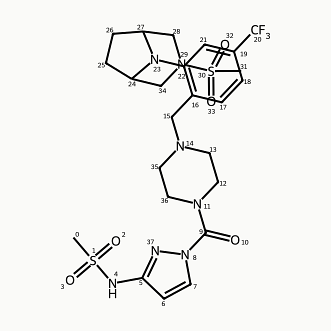 CS(=O)(=O)Nc1ccn(C(=O)N2CCN(Cc3ccc(C(F)(F)F)cc3N3C4CCC3CN(S(C)(=O)=O)C4)CC2)n1